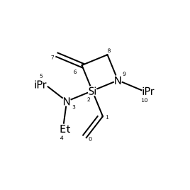 C=C[Si]1(N(CC)C(C)C)C(=C)CN1C(C)C